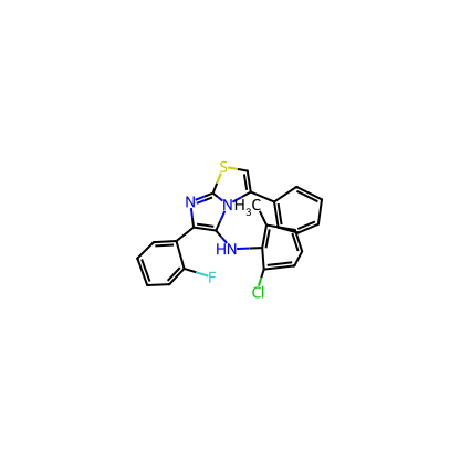 Cc1cccc(Cl)c1Nc1c(-c2ccccc2F)nc2scc(-c3ccccc3)n12